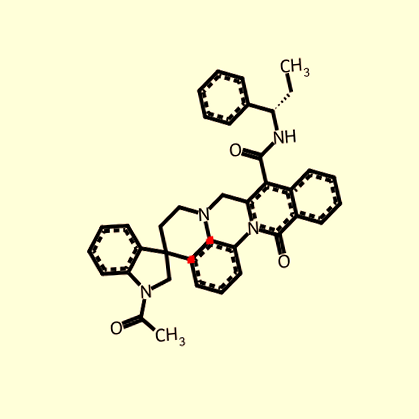 CC[C@H](NC(=O)c1c(CN2CCC3(CC2)CN(C(C)=O)c2ccccc23)n(-c2ccccc2)c(=O)c2ccccc12)c1ccccc1